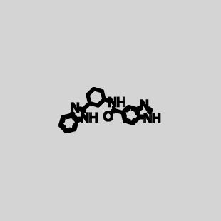 O=C(NC1CCCC(c2nc3ccccc3[nH]2)C1)c1ccc2[nH]cnc2c1